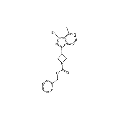 Cc1nccn2c(C3CN(C(=O)OCc4ccccc4)C3)nc(Br)c12